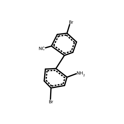 N#Cc1cc(Br)ccc1-c1ccc(Br)cc1N